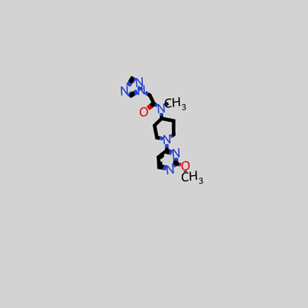 COc1nccc(N2CCC(N(C)C(=O)Cn3cncn3)CC2)n1